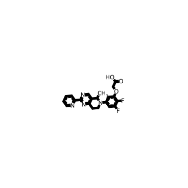 CC1c2cnc(-c3ccccn3)nc2CCN1c1cc(F)c(F)c(OCC(=O)O)c1